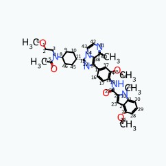 COCCN(C(C)=O)[C@H]1CC[C@H](c2nc(-c3ccc(NC(=O)c4cc5c(OC)cccc5n4C)c(OC)c3)c3c(C)nccn32)CC1